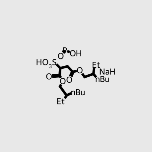 CCCCC(CC)COC(=O)CC(C(=O)OCC(CC)CCCC)S(=O)(=O)O.O=PO.[NaH]